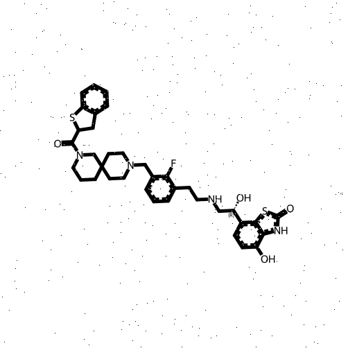 O=C(C1Cc2ccccc2S1)N1CCCC2(CCN(Cc3cccc(CCNC[C@H](O)c4ccc(O)c5[nH]c(=O)sc45)c3F)CC2)C1